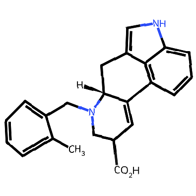 Cc1ccccc1CN1CC(C(=O)O)C=C2c3cccc4[nH]cc(c34)C[C@H]21